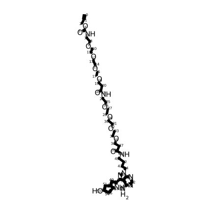 C#CCOC(=O)NCCOCCOCCOCCOCCC(=O)NCCOCCOCCOCCOCCC(=O)NCCCCn1nc(-c2cc3cc(O)ccc3[nH]2)c2c(N)ncnc21